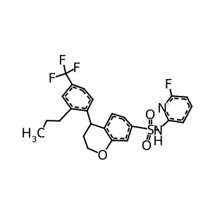 CCCc1cc(C(F)(F)F)ccc1C1CCOc2cc(S(=O)(=O)Nc3cccc(F)n3)ccc21